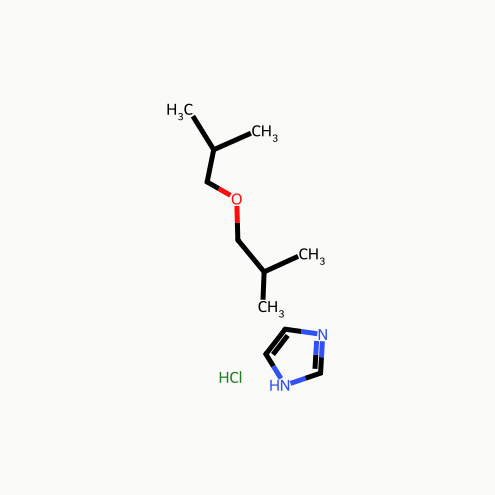 CC(C)COCC(C)C.Cl.c1c[nH]cn1